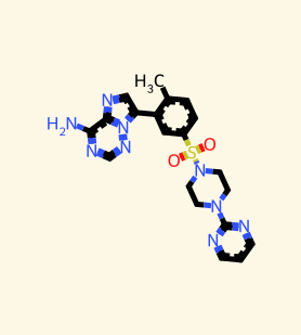 Cc1ccc(S(=O)(=O)N2CCN(c3ncccn3)CC2)cc1-c1cnc2c(N)ncnn12